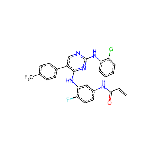 C=CC(=O)Nc1ccc(F)c(Nc2nc(Nc3ccccc3Cl)ncc2-c2ccc(C(F)(F)F)cc2)c1